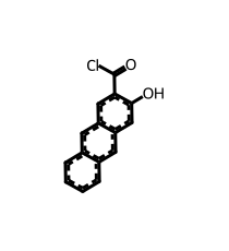 O=C(Cl)c1cc2cc3ccccc3cc2cc1O